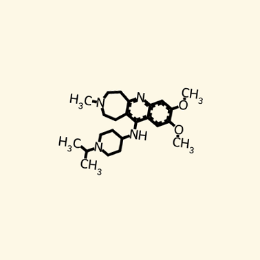 COc1cc2nc3c(c(NC4CCN(C(C)C)CC4)c2cc1OC)CCN(C)CC3